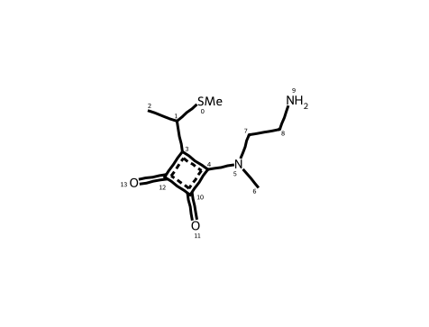 CSC(C)c1c(N(C)CCN)c(=O)c1=O